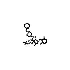 Cc1cccc(Cl)c1CN1CC(C)C(CC(=O)OC(C)(C)C)(C(=O)NC2CCN(CC3=CCCCC3)CC2)C1